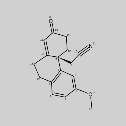 COc1ccc2c(c1)[C@@]1(CC#N)CCC(=O)C=C1CC2